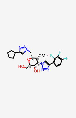 CO[C@@H]1[C@@H](n2cc(-c3ccc(F)c(F)c3F)nn2)[C@@H](O)[C@@H](CO)O[C@@H]1Cn1cc(C2CCCC2)nn1